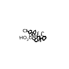 O=C(O)C(Cc1ccc2nc(-c3ccccc3C(F)(F)F)ccc2c1)NC(=O)C1(c2ccc(Cl)cc2)CCCC1